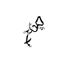 CN[C@]1(c2ccccc2)CC[C@]2(CC1)CN(CC(C)(C)C#N)C(=O)N2